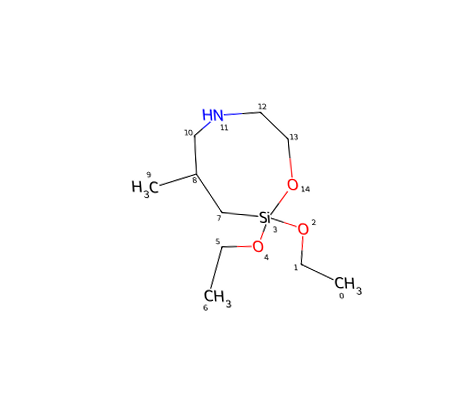 CCO[Si]1(OCC)CC(C)CNCCO1